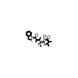 C=NN(/C(C)=C(\C)C(=O)N1c2ccccc2C[C@H]1C)c1nc(C)c(C)c(=O)[nH]1